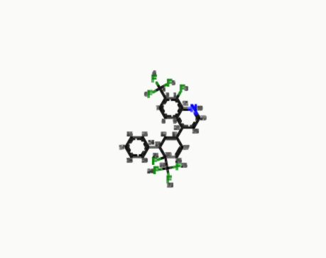 Fc1c(C(F)(F)F)ccc2c(C3=CC(c4ccccc4)C(F)(C(F)(F)F)C=C3)ccnc12